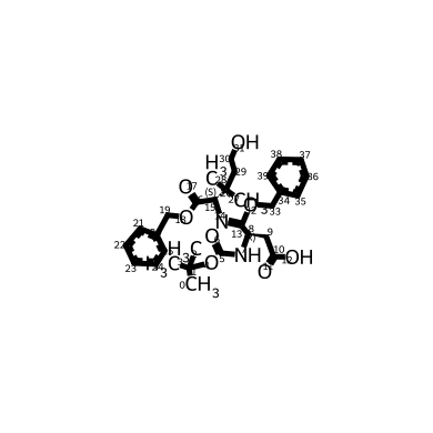 CC(C)(C)OC(=O)N[C@H](CC(=O)O)C(=N[C@H](C(=O)OCc1ccccc1)C(C)(C)CCO)OCc1ccccc1